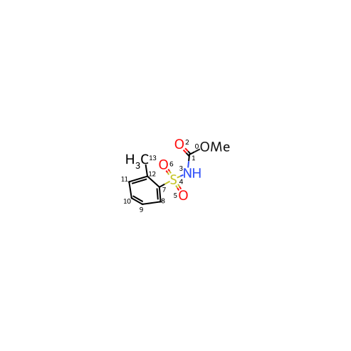 COC(=O)NS(=O)(=O)c1ccccc1C